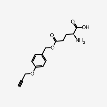 C#CCOc1ccc(COC(=O)CC[C@H](N)C(=O)O)cc1